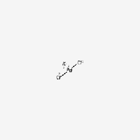 [Cl][Pd][Cl].[K]